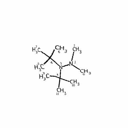 CN(C)N(C(C)(C)C)C(C)(C)C